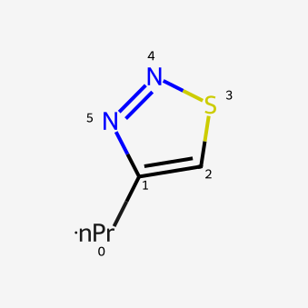 CC[CH]c1csnn1